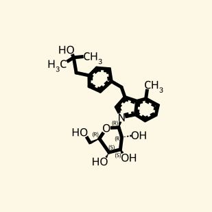 Cc1cccc2c1c(Cc1ccc(CC(C)(C)O)cc1)cn2[C@@H]1O[C@H](CO)[C@@H](O)[C@H](O)[C@H]1O